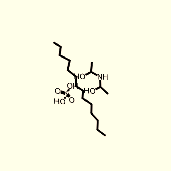 CC(O)NC(C)O.CCCCCCCCCCCCCC.O=S(=O)(O)O